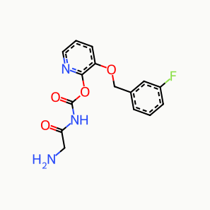 NCC(=O)NC(=O)Oc1ncccc1OCc1cccc(F)c1